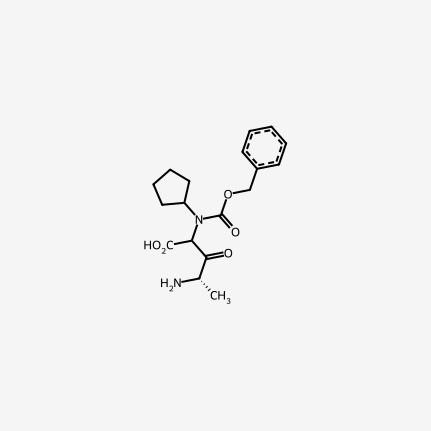 C[C@H](N)C(=O)C(C(=O)O)N(C(=O)OCc1ccccc1)C1CCCC1